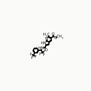 COC(=O)c1cc2cc(C(=O)NC(c3cccc(C(F)(F)F)c3)C(F)(F)F)[nH]c2nc1C